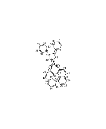 c1ccc([C@H]2CN(p3oc4ccc5ccccc5c4c4c(ccc5ccccc54)o3)C[C@@H]2c2ccccc2)cc1